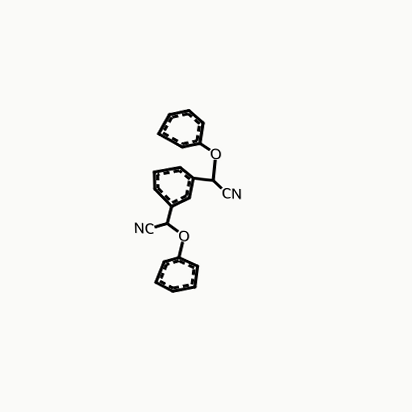 N#CC(Oc1ccccc1)c1cccc(C(C#N)Oc2ccccc2)c1